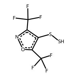 FC(F)(F)c1noc(C(F)(F)F)c1SS